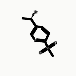 CC(C)[C@@H](C)c1ccc(S(C)(=O)=O)nc1